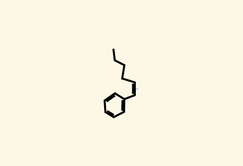 CCCC/C=C\c1ccccc1